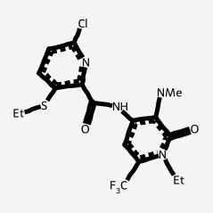 CCSc1ccc(Cl)nc1C(=O)Nc1cc(C(F)(F)F)n(CC)c(=O)c1NC